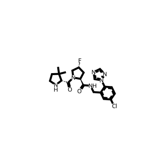 CC1(C)CCN[C@H]1C(=O)N1C[C@H](F)C[C@H]1C(=O)NCc1cc(Cl)ccc1-n1cncn1